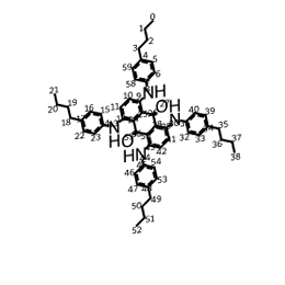 CCCCc1ccc(Nc2ccc(Nc3ccc(CCCC)cc3)c3c2C(=O)c2c(Nc4ccc(CCCC)cc4)ccc(Nc4ccc(CCCC)cc4)c2C3=O)cc1